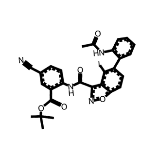 CC(=O)Nc1ccccc1-c1ccc2onc(C(=O)Nc3ccc(C#N)cc3C(=O)OC(C)(C)C)c2c1I